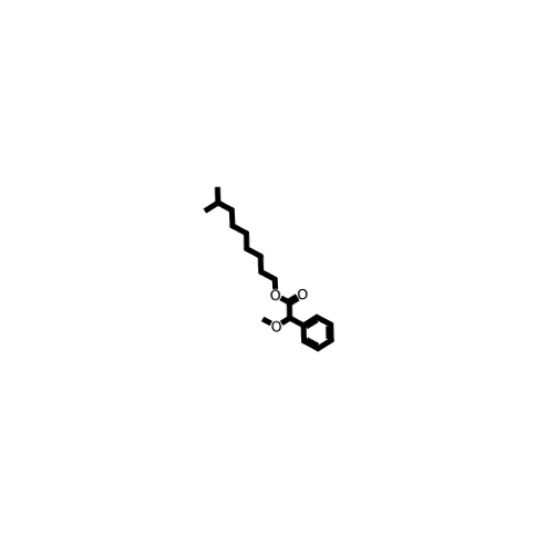 COC(C(=O)OCCCCCCCC(C)C)c1ccccc1